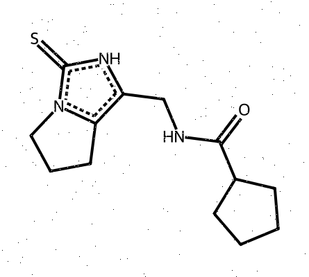 O=C(NCc1[nH]c(=S)n2c1CCC2)C1CCCC1